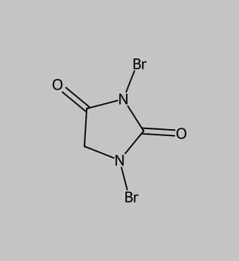 O=C1CN(Br)C(=O)N1Br